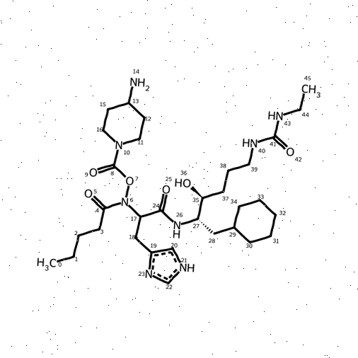 CCCCC(=O)N(OC(=O)N1CCC(N)CC1)C(Cc1c[nH]cn1)C(=O)N[C@@H](CC1CCCCC1)[C@@H](O)CCCNC(=O)NCC